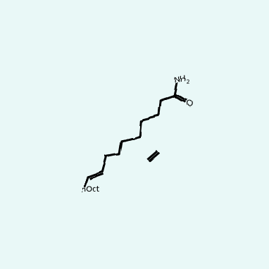 C=C.CCCCCCCCC=CCCCCCCCC(N)=O